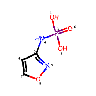 O=P(O)(O)Nc1ccon1